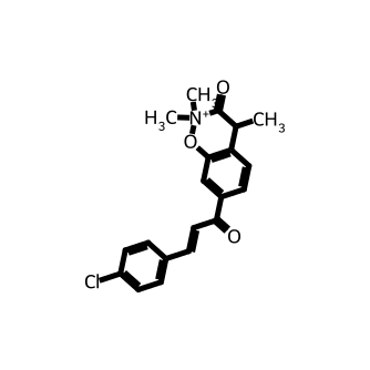 CC1C(=O)[N+](C)(C)Oc2cc(C(=O)C=Cc3ccc(Cl)cc3)ccc21